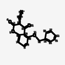 [N-]=[N+]=C1C(=O)Oc2cccc(OCc3ccccc3)c2C1=O